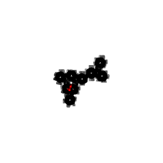 c1ccc(-c2ccc(-n3c4ccc(-c5ccc6c(c5)c5ccccc5n6-c5ccccc5)cc4c4ccc5c6ccccc6n(-c6ccccc6)c5c43)cc2)cc1